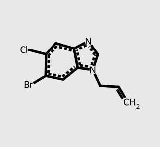 C=CCn1cnc2cc(Cl)c(Br)cc21